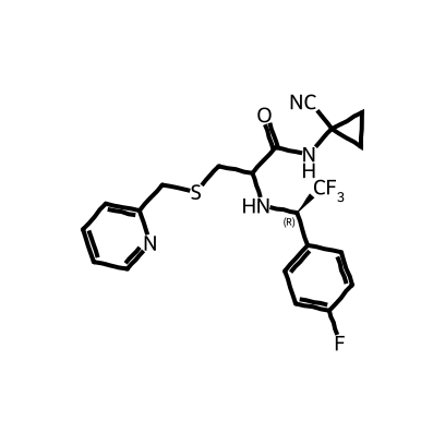 N#CC1(NC(=O)C(CSCc2ccccn2)N[C@H](c2ccc(F)cc2)C(F)(F)F)CC1